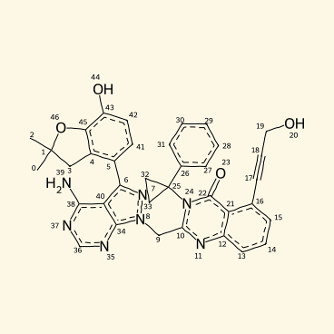 CC1(C)Cc2c(-c3nn(Cc4nc5cccc(C#CCO)c5c(=O)n4C4(c5ccccc5)CC4)c4ncnc(N)c34)ccc(O)c2O1